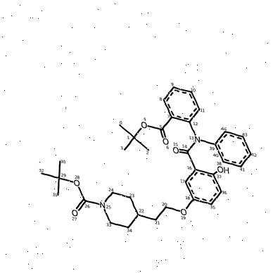 CC(C)(C)OC(=O)c1ccccc1N(C(=O)c1cc(OCCC2CCN(C(=O)OC(C)(C)C)CC2)ccc1O)c1ccccc1